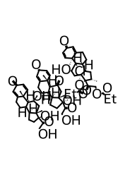 CCC(=O)OCC(=O)[C@@]1(OC(=O)CC)[C@@H](C)C[C@H]2[C@@H]3CCC4=CC(=O)C=C[C@]4(C)[C@@]3(Cl)[C@@H](O)C[C@@]21C.C[C@]12C=CC(=O)C=C1CC[C@@H]1[C@@H]2C(=O)C[C@@]2(C)[C@H]1CC[C@]2(O)C(=O)CO.C[C@]12C=CC(=O)C=C1CC[C@@H]1[C@@H]2[C@@H](O)C[C@@]2(C)[C@H]1CC[C@]2(O)C(=O)CO